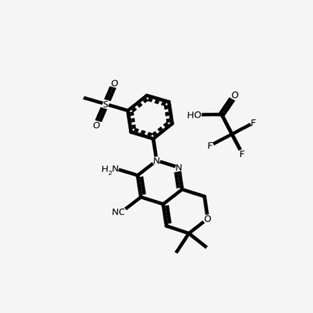 CC1(C)C=C2C(=NN(c3cccc(S(C)(=O)=O)c3)C(N)=C2C#N)CO1.O=C(O)C(F)(F)F